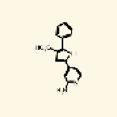 Nc1cc(-c2cc(C(=O)O)c(-c3ccccc3)[nH]2)ccn1